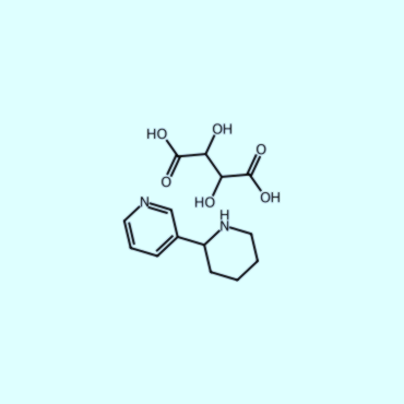 O=C(O)C(O)C(O)C(=O)O.c1cncc(C2CCCCN2)c1